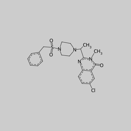 CC(c1nc2ccc(Cl)cc2c(=O)n1C)N1CCN(S(=O)(=O)Cc2ccccc2)CC1